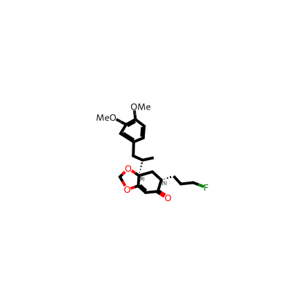 COc1ccc(CC(C)[C@]23C[C@H](CCCF)C(=O)C=C2OCO3)cc1OC